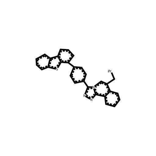 CC(C)Cc1cn2c(-c3ccc(-c4cccc5c4sc4ccccc45)cc3)nnc2c2ccccc12